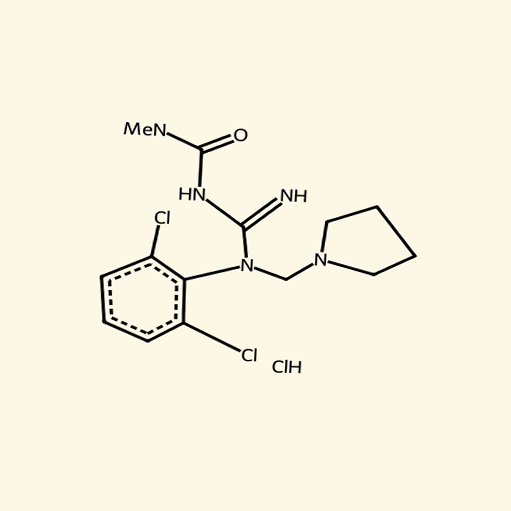 CNC(=O)NC(=N)N(CN1CCCC1)c1c(Cl)cccc1Cl.Cl